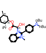 CCCCN(CCCC)c1ccc(-c2n([C@H](O)C(=O)O[C@@H]3C[C@H](C)CC[C@H]3C(C)C)c3ccccc3[n+]2C)cc1